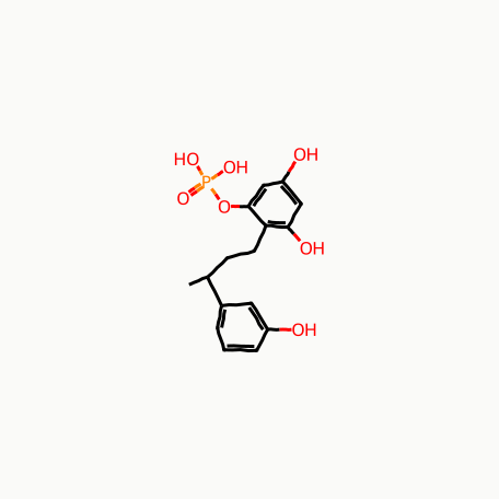 CC(CCc1c(O)cc(O)cc1OP(=O)(O)O)c1cccc(O)c1